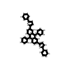 c1ccc(-c2ccc(-c3ccc4c(-c5ccccc5)c5ccc(-c6ccc(-c7ccccc7)s6)cc5c(-c5ccccc5)c4c3)s2)cc1